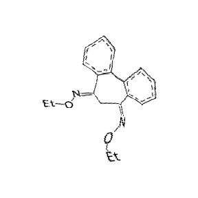 CCON=C1CC(=NOCC)c2ccccc2-c2ccccc21